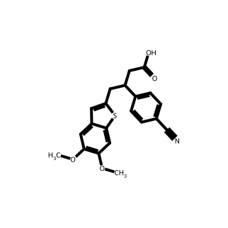 COc1cc2cc(CC(CC(=O)O)c3ccc(C#N)cc3)sc2cc1OC